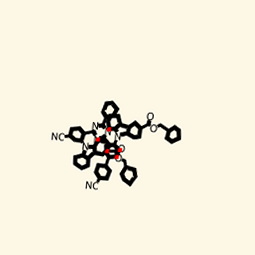 N#Cc1ccc(-c2ccc(-n3c4ccccc4c4cc(C(=O)OCc5ccccc5)ccc43)c(-c3nc(-c4ccccc4)nc(-c4ccc(C#N)cc4-n4c5ccccc5c5cc(C(=O)OCc6ccccc6)ccc54)n3)c2)cc1